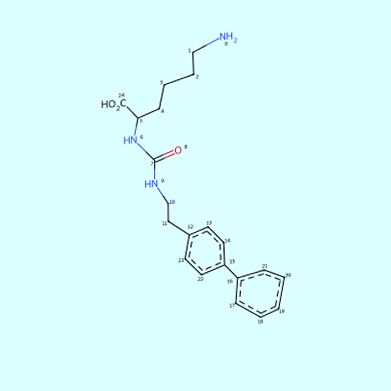 NCCCCC(NC(=O)NCCc1ccc(-c2ccccc2)cc1)C(=O)O